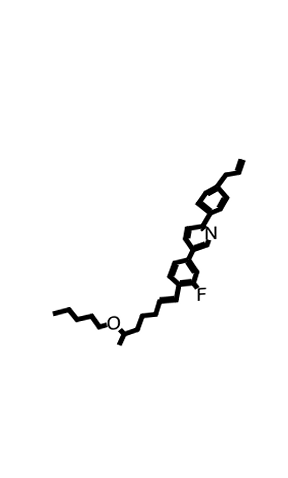 C=CCc1ccc(-c2ccc(-c3ccc(C=CCCCC(C)OCCCCC)c(F)c3)cn2)cc1